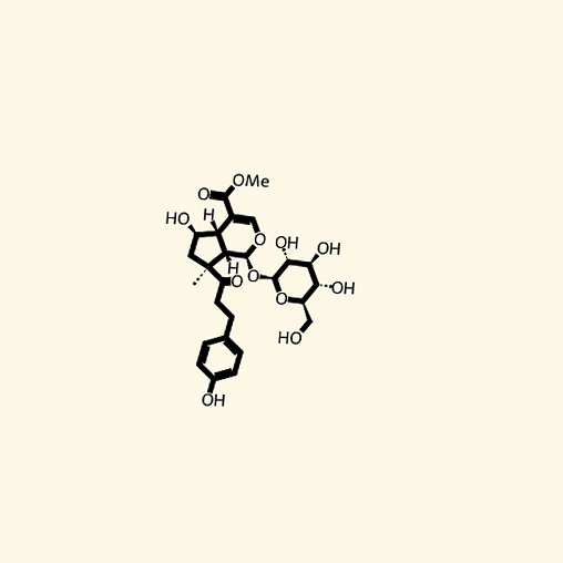 COC(=O)C1=CO[C@@H](O[C@@H]2O[C@H](CO)[C@@H](O)[C@H](O)[C@H]2O)[C@H]2[C@@H]1[C@H](O)C[C@]2(C)C(=O)CCc1ccc(O)cc1